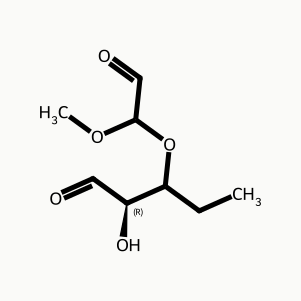 CCC(OC(C=O)OC)[C@@H](O)C=O